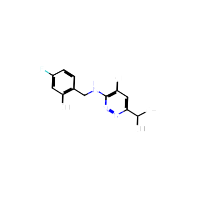 Cc1cc(F)ccc1CNc1nnc(C(C)C)cc1C